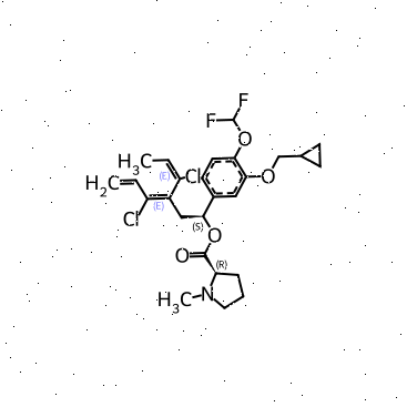 C=C/C(Cl)=C(C[C@H](OC(=O)[C@H]1CCCN1C)c1ccc(OC(F)F)c(OCC2CC2)c1)\C(Cl)=C/C